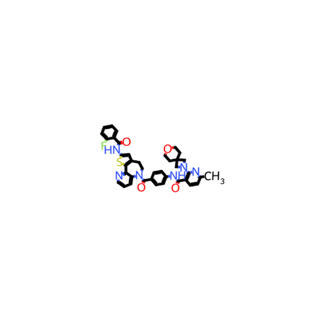 Cc1ccc(C(=O)Nc2ccc(C(=O)N3CCc4cc(NC(=O)c5ccccc5F)sc4-c4ncccc43)cc2)c(N2CC3(CCOCC3)C2)n1